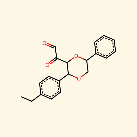 CCc1ccc(C2OCC(c3ccccc3)OC2C(=O)C=O)cc1